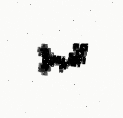 CN(CCNC(=S)Nc1ccc(Cl)c(F)c1)CCNc1cc(N2CCCC2)nc(N2CCCC2)n1